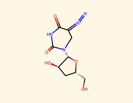 [N-]=[N+]=C1CN([C@@H]2O[C@H](CO)C[C@H]2O)C(=O)NC1=O